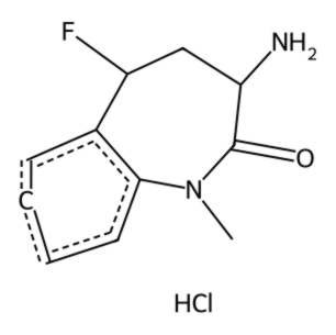 CN1C(=O)C(N)CC(F)c2ccccc21.Cl